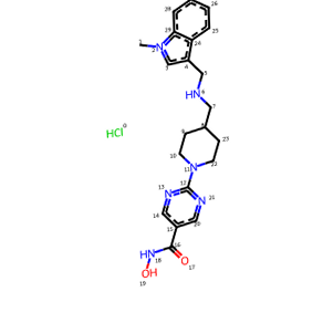 Cl.Cn1cc(CNCC2CCN(c3ncc(C(=O)NO)cn3)CC2)c2ccccc21